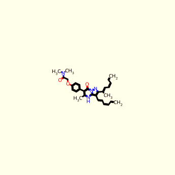 C=C/C=C\C=C\c1c(/C(C)=C/C=C\C=C)nn2c(=O)c(-c3ccc(OCC(=O)N(C)C)cc3)c(C)[nH]c12